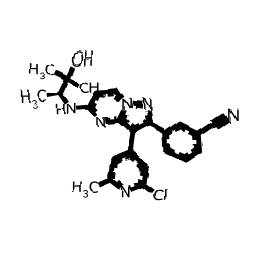 Cc1cc(-c2c(-c3cccc(C#N)c3)nn3ccc(N[C@@H](C)C(C)(C)O)nc23)cc(Cl)n1